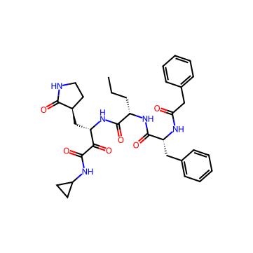 CCC[C@H](NC(=O)[C@@H](Cc1ccccc1)NC(=O)Cc1ccccc1)C(=O)N[C@@H](C[C@@H]1CCNC1=O)C(=O)C(=O)NC1CC1